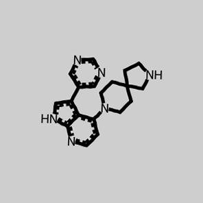 c1ncc(-c2c[nH]c3nccc(N4CCC5(CCNC5)CC4)c23)cn1